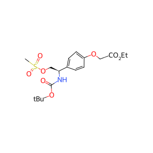 CCOC(=O)COc1ccc([C@H](COS(C)(=O)=O)NC(=O)OC(C)(C)C)cc1